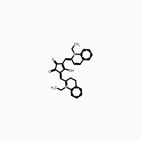 CCN1/C(=C/C2=C(O)C(=C\C3=[N+](CC)c4ccccc4CC3)/C(=O)C2=O)C=Cc2ccccc21